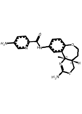 C[C@]12N=C(N)SC[C@H]1CCOc1ccc(NC(=O)c3ccc(N)cn3)cc12